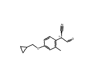 Cc1cc(OCC2CC2)ccc1[C@@H](C#N)C=O